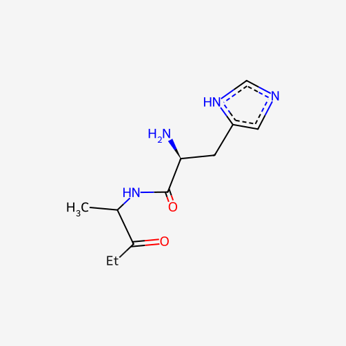 CCC(=O)C(C)NC(=O)[C@@H](N)Cc1cnc[nH]1